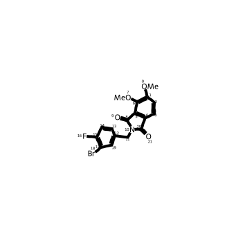 COc1ccc2c(c1OC)C(=O)N(Cc1ccc(F)c(Br)c1)C2=O